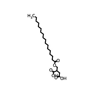 CCCCCCCCCCCCCCCCCC(=O)OCC(CC(=O)O)C(=O)O